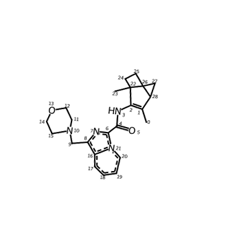 CC1=C(NC(=O)c2nc(CN3CCOCC3)c3ccccn23)C2(C)CCC23CC13